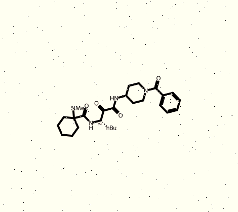 CCCC[C@H](NC(=O)C1(NC)CCCCC1)C(=O)C(=O)NC1CCN(C(=O)c2ccccc2)CC1